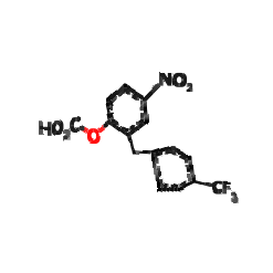 O=C(O)Oc1ccc([N+](=O)[O-])cc1Cc1ccc(C(F)(F)F)cc1